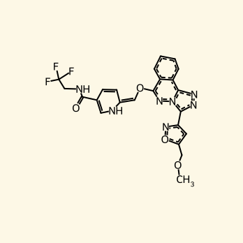 COCc1cc(-c2nnc3c4ccccc4c(OC=C4C=CC(C(=O)NCC(F)(F)F)=CN4)nn23)no1